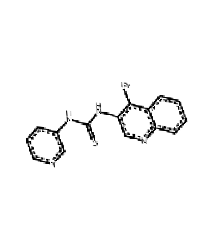 CC(C)c1c(NC(=O)Nc2cccnc2)cnc2ccccc12